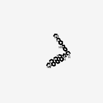 C1CCNCC1.c1c[nH]nn1.c1ccc2[nH]ccc2c1.c1ccc2cnccc2c1.c1ccc2ncccc2c1.c1ccc2ncccc2c1.c1ccc2ncccc2c1.c1cncnc1.c1cnnnc1